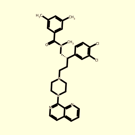 Cc1cc(C)cc(C(=O)N(C)C[C@@H](CCN2CCN(c3nccc4cccnc34)CC2)c2ccc(Cl)c(Cl)c2)c1